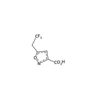 O=C(O)c1cc(CC(F)(F)F)on1